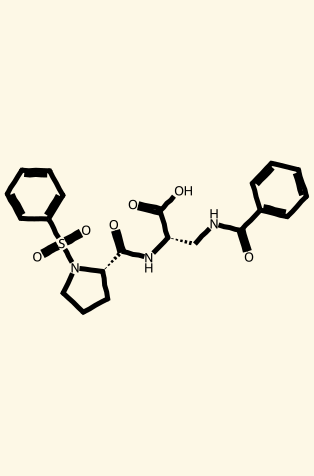 O=C(NC[C@H](NC(=O)[C@@H]1CCCN1S(=O)(=O)c1ccccc1)C(=O)O)c1ccccc1